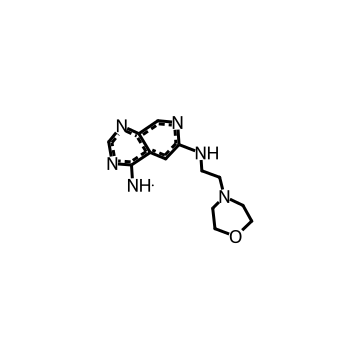 [NH]c1ncnc2cnc(NCCN3CCOCC3)cc12